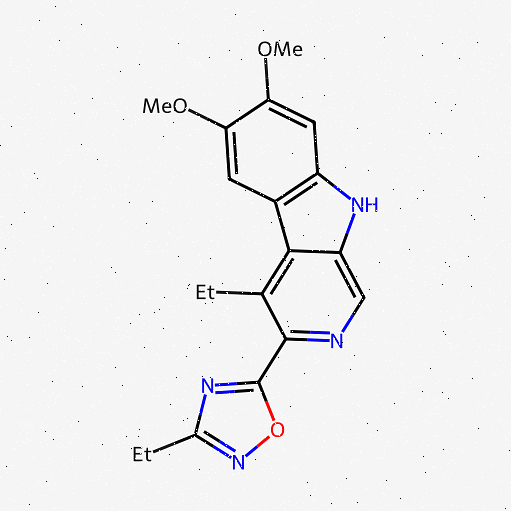 CCc1noc(-c2ncc3[nH]c4cc(OC)c(OC)cc4c3c2CC)n1